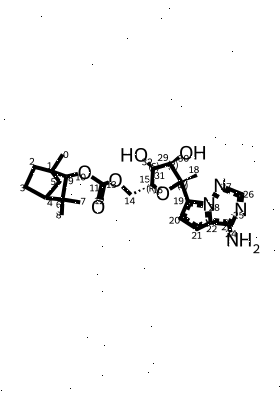 CC12CCC(C1)C(C)(C)C2OC(=O)OC[C@H]1O[C@@](C)(c2ccc3c(N)ncnn23)[C@H](O)[C@@H]1O